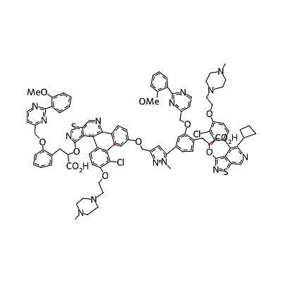 COc1ccccc1-c1nccc(COc2ccccc2CC(Oc2nsc3cnc(-c4ccc(OCc5cc(-c6ccc(CC(Oc7nsc8cnc(C9CCC9)c(-c9ccc(OCCN%10CCN(C)CC%10)c(Cl)c9C)c78)C(=O)O)c(OCc7ccnc(-c8ccccc8OC)n7)c6)n(C)n5)cc4)c(-c4ccc(OCCN5CCN(C)CC5)c(Cl)c4C)c23)C(=O)O)n1